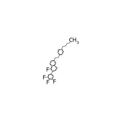 CCCCCc1ccc(CCc2ccc3c(F)c(-c4cc(F)c(F)c(F)c4)ccc3c2)cc1